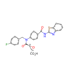 O=C(Nc1nc2ccccc2s1)c1ccc(N(Cc2ccc(F)cc2)C(=O)[C@H]2O[C@@H]2C(=O)O)cc1